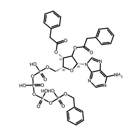 Nc1ncnc2c1ncn2[C@@H]1O[C@H](COP(=O)(O)OP(=O)(O)OP(=O)(O)OP(=O)(O)OCc2ccccc2)[C@H](OC(=O)Cc2ccccc2)C1OC(=O)Cc1ccccc1